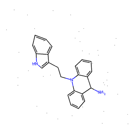 NC1c2ccccc2N(CCc2c[nH]c3ccccc23)c2ccccc21